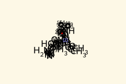 CC(C)(C)OC(=O)CO/N=C(\C(=O)N[C@@H]1C(=O)N2C(C(=O)O)=C(CSc3nnnn3N)CS[C@@H]12)c1csc(NC(c2ccccc2)(c2ccccc2)c2ccccc2)n1